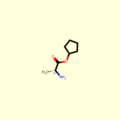 C[C@@H](N)C(=O)OC1CCCC1